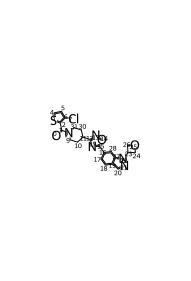 O=C(c1sccc1Cl)N1CCC(c2noc(-c3ccc4cnn(C5COC5)c4c3)n2)CC1